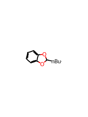 CCC[CH]C1Oc2ccccc2O1